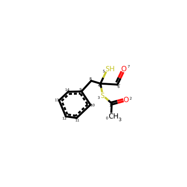 CC(=O)SC(S)([C]=O)Cc1ccccc1